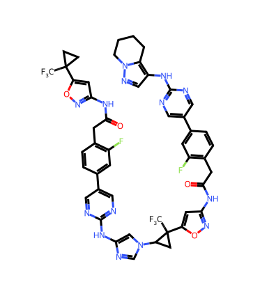 O=C(Cc1ccc(-c2cnc(Nc3cn(C4CC4(c4cc(NC(=O)Cc5ccc(-c6cnc(Nc7cnn8c7CCCC8)nc6)cc5F)no4)C(F)(F)F)cn3)nc2)cc1F)Nc1cc(C2(C(F)(F)F)CC2)on1